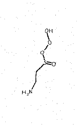 NCCS(=O)OOO